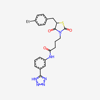 CCc1ccc(CC2SC(=O)N(CCCC(=O)Nc3cccc(-c4nnn[nH]4)c3)C2=O)cc1